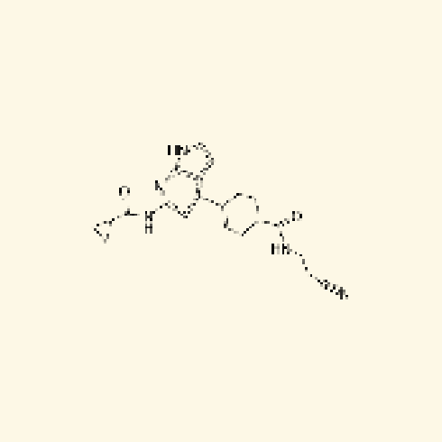 N#CCCNC(=O)C1CC=C(c2cc(NC(=O)C3CC3)nc3[nH]ccc23)CC1